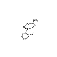 Nc1ncc(-c2ccncc2F)nn1